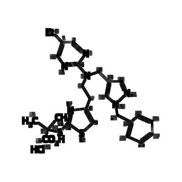 CCc1cnc(N(CCc2csc(SC(C)(C)C(=O)O)n2)Cc2cnn(Cc3ccccc3)c2)nc1.Cl